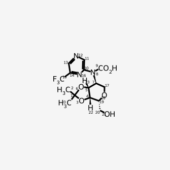 CC1(C)O[C@@H]2[C@H](O1)[C@@H](N(C(=O)O)c1cncc(C(F)(F)F)n1)CO[C@@H]2CO